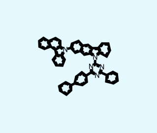 c1ccc(-c2ccc(-c3nc(-c4ccccc4)nc(-n4c5ccccc5c5cc6ccc(-n7c8ccccc8c8c9ccccc9ccc87)cc6cc54)n3)cc2)cc1